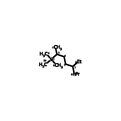 CCCC(CC)CCC(C)[Si](C)(C)C